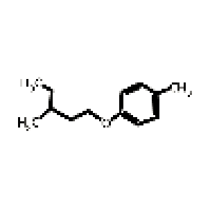 CCC(C)CCOc1ccc(C)cc1